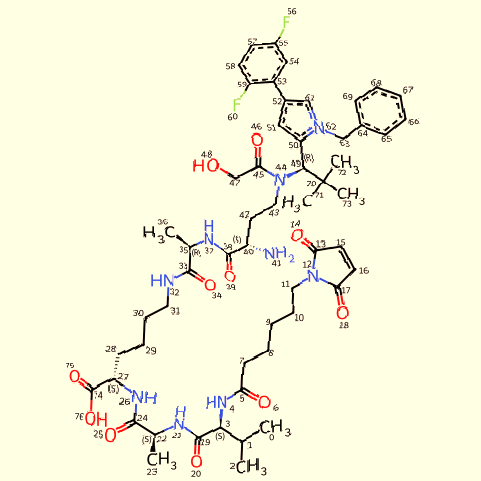 CC(C)[C@H](NC(=O)CCCCCN1C(=O)C=CC1=O)C(=O)N[C@@H](C)C(=O)N[C@@H](CCCCNC(=O)[C@@H](C)NC(=O)[C@@H](N)CCN(C(=O)CO)[C@@H](c1cc(-c2cc(F)ccc2F)cn1Cc1ccccc1)C(C)(C)C)C(=O)O